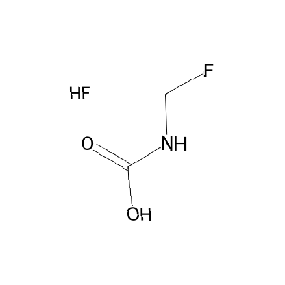 F.O=C(O)NCF